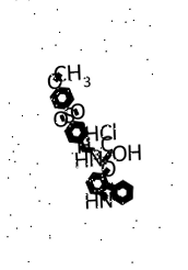 COc1ccc(S(=O)(=O)c2ccc(CCNC(Oc3cccc4[nH]c5ccccc5c34)C(C)O)cc2)cc1.Cl